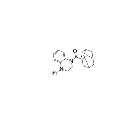 CC(C)N1CCN(C(=O)C23CC4CC(CC(C4)C2)C3)c2ccccc21